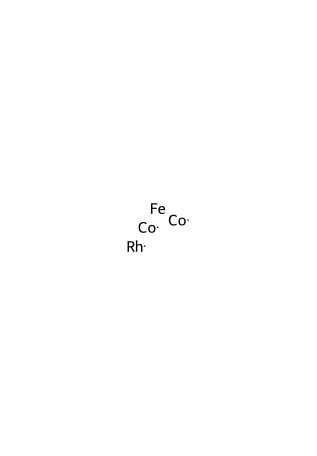 [Co].[Co].[Fe].[Rh]